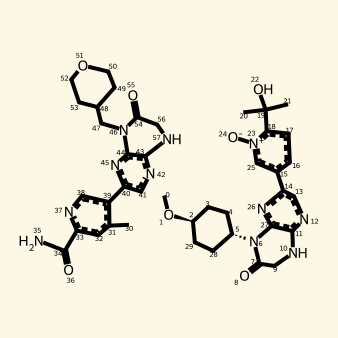 CO[C@H]1CC[C@H](N2C(=O)CNc3ncc(-c4ccc(C(C)(C)O)[n+]([O-])c4)nc32)CC1.Cc1cc(C(N)=O)ncc1-c1cnc2c(n1)N(CC1CCOCC1)C(=O)CN2